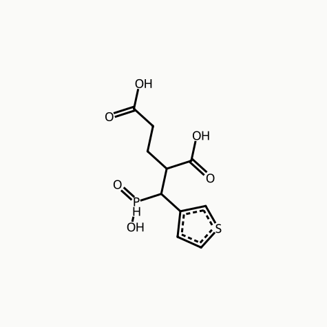 O=C(O)CCC(C(=O)O)C(c1ccsc1)[PH](=O)O